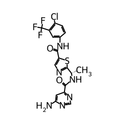 C[C@H](NC(=O)c1cc(N)ncn1)c1ncc(C(=O)Nc2ccc(Cl)c(C(F)(F)F)c2)s1